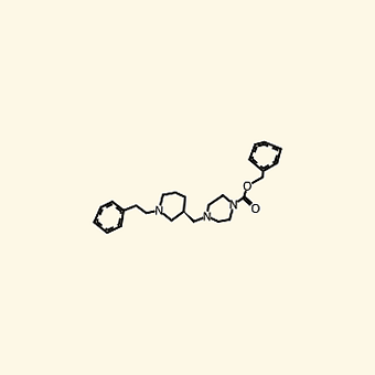 O=C(OCc1ccccc1)N1CCN(C[C@@H]2CCCN(CCc3ccccc3)C2)CC1